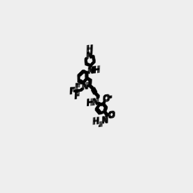 COc1cc(C(N)=O)ccc1NCC#Cc1cc2c(NC3CCNCC3)cccc2n1CC(F)(F)F